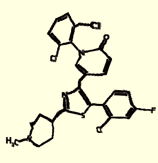 CN1CCC(c2nc(-c3ccc(=O)n(-c4c(Cl)cccc4Cl)c3)c(-c3ccc(F)cc3Cl)s2)CC1